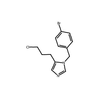 ClCCCc1cncn1Cc1ccc(Br)cc1